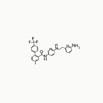 Cc1ccc(-c2ccc(C(F)(F)F)cc2)c(C(=O)Nc2ccc(NCCc3cccc(N)n3)nc2)c1